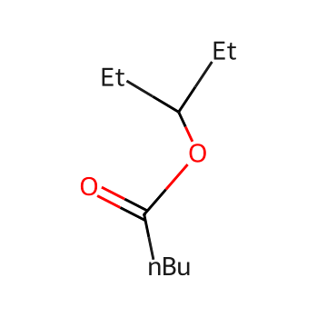 [CH2]CC(CC)OC(=O)CCCC